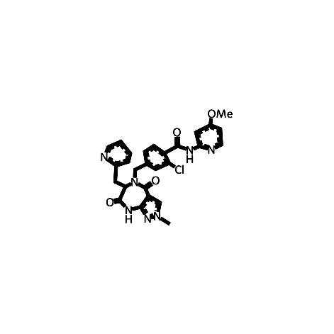 COc1ccnc(NC(=O)c2ccc(CN3C(=O)c4cn(C)nc4NC(=O)C3Cc3ccccn3)cc2Cl)c1